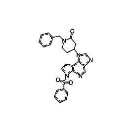 O=C1CC(n2cnc3cnc4c(ccn4S(=O)(=O)c4ccccc4)c32)CCN1Cc1ccccc1